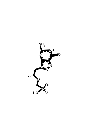 C[C@H](Cn1nnc2c(=O)[nH]c(N)nc21)OCP(=O)(O)O